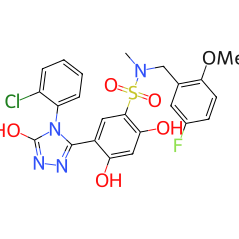 COc1ccc(F)cc1CN(C)S(=O)(=O)c1cc(-c2nnc(O)n2-c2ccccc2Cl)c(O)cc1O